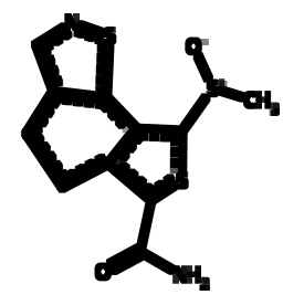 C[S+]([O-])c1sc(C(N)=O)c2ccc3cnsc3c12